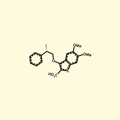 COc1cc2sc(C(=O)O)c(OC[C@@H](C)c3ccccc3)c2cc1OC